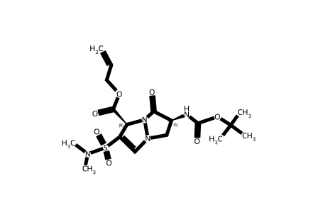 C=CCOC(=O)[C@@H]1C(S(=O)(=O)N(C)C)=CN2C[C@H](NC(=O)OC(C)(C)C)C(=O)N12